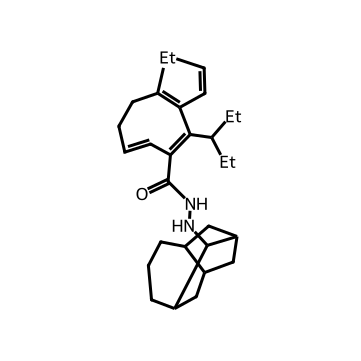 CC\C=C/C1=C(\C)CC/C=C/C(C(=O)NNC2C3CCCC4CC2CC4C3)=C\1C(CC)CC